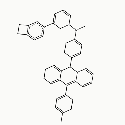 CC1=CC=C(C2=C3C=CC=CC3C(C3=CC=C(N(C)C4C=CC=C(c5ccc6c(c5)CC6)C4)CC3)C3=CCCC=C32)CC1